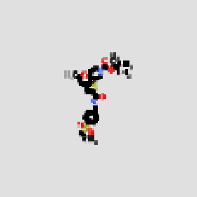 CCS(=O)(=O)c1ccc(CNC(=O)c2cc3c(s2)C2(CCN(C(=O)OC(C)(C)C)CC2)OC(C)C3)cc1